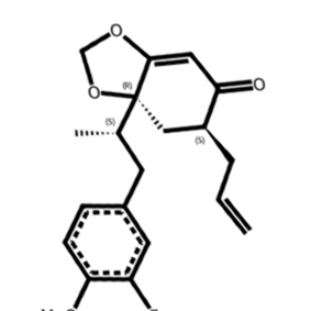 C=CC[C@H]1C[C@]2([C@@H](C)Cc3ccc(OC)c(F)c3)OCOC2=CC1=O